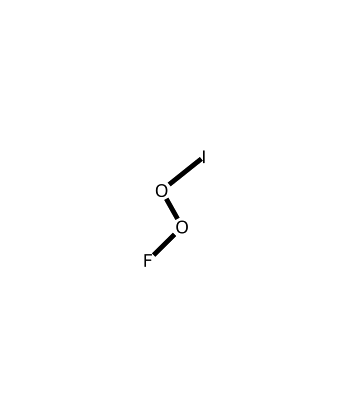 FOOI